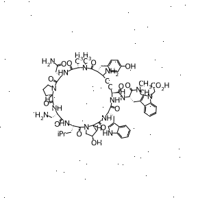 CC(C)C[C@@H]1NC(=O)[C@H](CN)NC(=O)[C@@H]2CCCN2C(=O)[C@H](CC(N)=O)NC(=O)[C@H](C)N(C)C(=O)[C@H](Cc2ccc(O)cc2)C(N)CC[C@@H](C(=O)N[C@@H](Cc2cn(CC(=O)O)c3ccccc23)C(=O)N(C)C)NC(=O)[C@H](Cc2c[nH]c3ccccc23)NC(=O)[C@@H]2C[C@@H](O)CN2C1=O